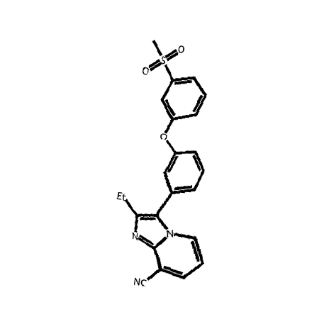 CCc1nc2c(C#N)cccn2c1-c1cccc(Oc2cccc(S(C)(=O)=O)c2)c1